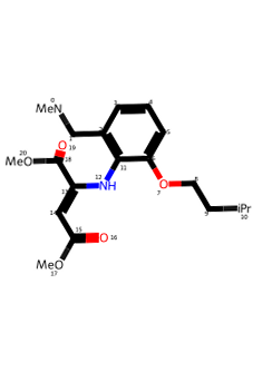 CNCc1cccc(OCCC(C)C)c1N/C(=C\C(=O)OC)C(=O)OC